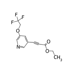 CCOC(=O)C#Cc1cncc(OCC(F)(F)F)c1